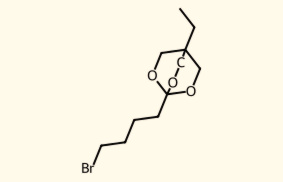 CCC12COC(CCCCBr)(OC1)OC2